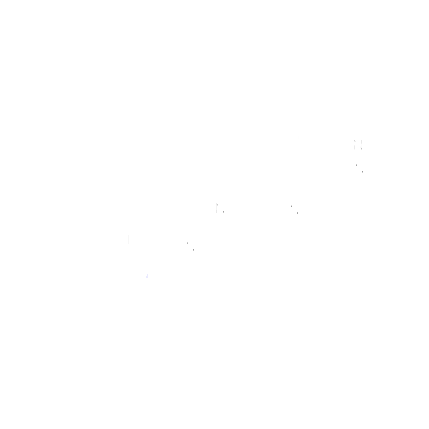 C/C(=C\c1ccccc1)CN1CCN(CC2ON=C3c4cnncc4OCC32)CC1